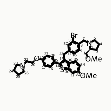 COC[C@@H]1CCCN1Cc1ccc(Cc2c(-c3ccc(OCCN4CCCC4)cc3)sc3cc(OC)ccc23)cc1Br